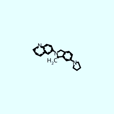 C=C1c2cc(N3CCCC3)ccc2CN1c1ccc2ncccc2c1